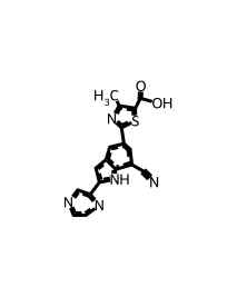 Cc1nc(-c2cc(C#N)c3[nH]c(-c4cnccn4)cc3c2)sc1C(=O)O